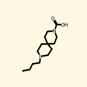 CCCCN1CCC2(CC1)CCN(C(=O)O)CC2